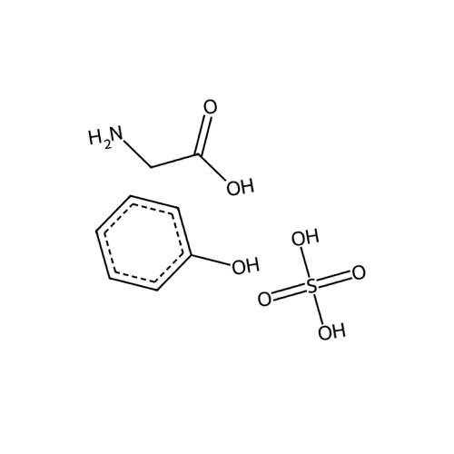 NCC(=O)O.O=S(=O)(O)O.Oc1ccccc1